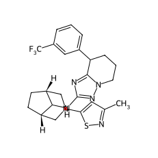 Cc1cc(N2C[C@H]3CC[C@@H](C2)C3Nc2nc3n(n2)CCCC3c2cccc(C(F)(F)F)c2)sn1